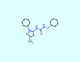 Cc1cc(NC(=O)NCc2ccccc2)n(-c2ccccc2)n1